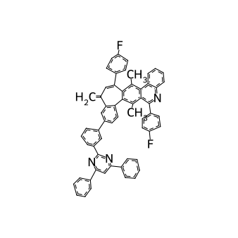 C=C1C=C(c2ccc(F)cc2)c2c(c(C)c3c(-c4ccc(F)cc4)nc4ccccc4c3c2C)-c2ccc(-c3cccc(-c4nc(-c5ccccc5)cc(-c5ccccc5)n4)c3)cc21